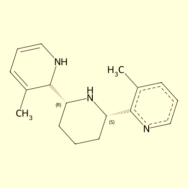 CC1=CC=CNC1[C@H]1CCC[C@@H](c2ncccc2C)N1